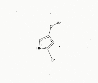 CC(=O)Oc1c[nH]c(Br)c1